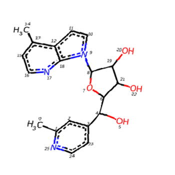 Cc1cc(C(O)C2OC(n3ccc4c(C)ccnc43)C(O)C2O)ccn1